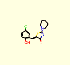 O=C1N=C(N2CCCCC2)S/C1=C\c1cc(Cl)ccc1O